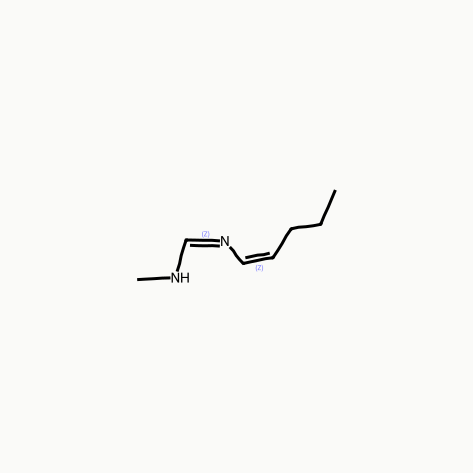 CCC/C=C\N=C/NC